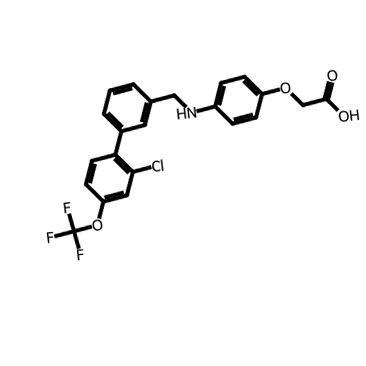 O=C(O)COc1ccc(NCc2cccc(-c3ccc(OC(F)(F)F)cc3Cl)c2)cc1